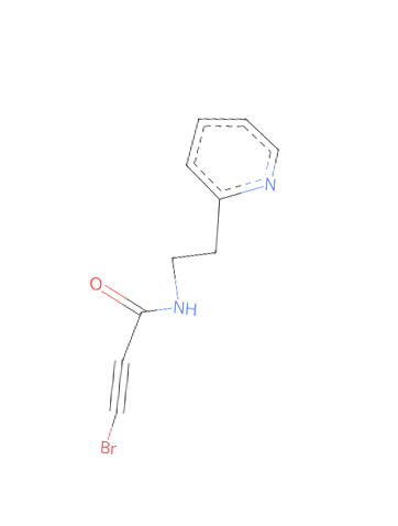 O=C(C#CBr)NCCc1ccccn1